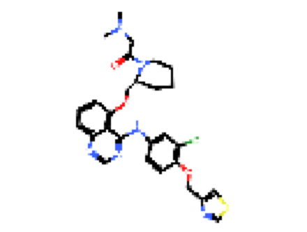 CN(C)CC(=O)N1CCCC[C@H]1COc1cccc2ncnc(Nc3ccc(OCc4cscn4)c(Cl)c3)c12